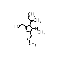 C=CC(=C)C1C(CO)=CC(COC)C1N=C